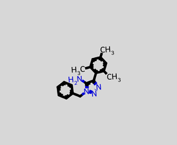 Cc1cc(C)c(-c2nnn(Cc3ccccc3)c2N)c(C)c1